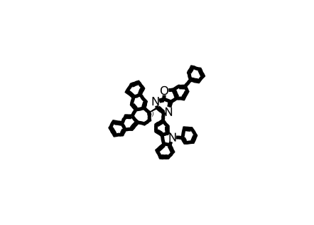 c1ccc(-c2ccc3c(c2)oc2nc([C@H]4CCc5cc6ccccc6cc5-c5cc6ccccc6cc54)c(-c4ccc5c6ccccc6n(-c6ccccc6)c5c4)nc23)cc1